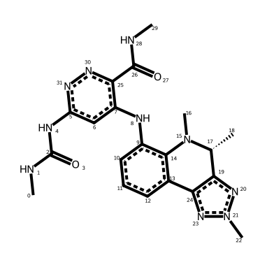 CNC(=O)Nc1cc(Nc2cccc3c2N(C)[C@H](C)c2nn(C)nc2-3)c(C(=O)NC)nn1